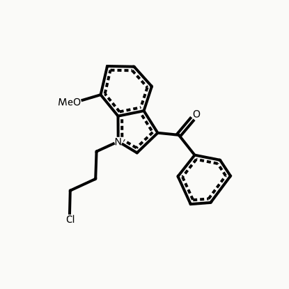 COc1cccc2c(C(=O)c3ccccc3)cn(CCCCl)c12